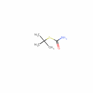 CC(C)(C)SC(N)=O